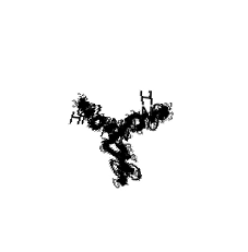 CCOC(=O)C1CCN(c2nc(N3CCC(NC(=O)OC(C)(C)C)CC3)nc(N3CCC(NC(=O)OC(C)(C)C)CC3)n2)CC1